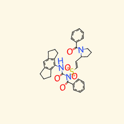 O=C(c1ccccc1)N1CCCC1C=CS(=O)(=O)N(C(=O)Nc1c2c(cc3c1CCC3)CCC2)C(=O)c1ccccc1